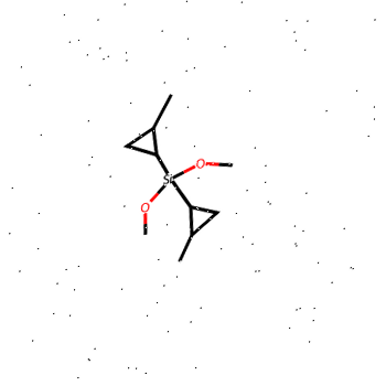 CO[Si](OC)(C1CC1C)C1CC1C